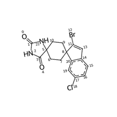 O=C1NC(=O)C2(CCC3(CC2)C(Br)=Cc2ccc(Cl)cc23)N1